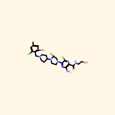 CC[C@H]1CN(c2nc(N)c(C(=O)NCCO)nc2Cl)CCN1C1CCN(Cc2c(O)cc(C)cc2Cl)CC1